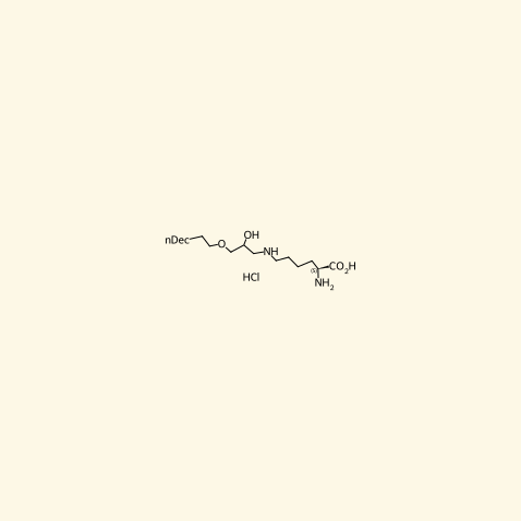 CCCCCCCCCCCCOCC(O)CNCCCC[C@H](N)C(=O)O.Cl